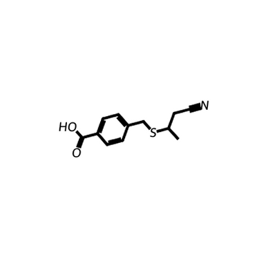 CC(CC#N)SCc1ccc(C(=O)O)cc1